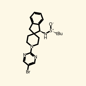 CC(C)(C)[S@@+]([O-])N[C@@H]1c2ccccc2CC12CCN(c1ncc(Br)cn1)CC2